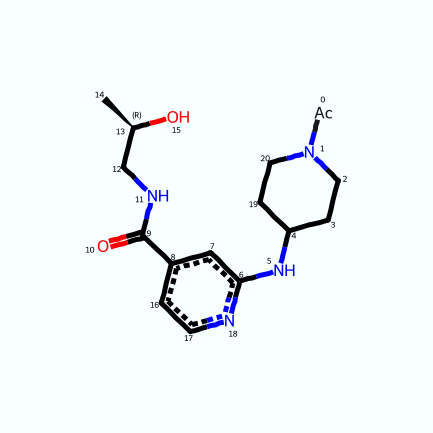 CC(=O)N1CCC(Nc2cc(C(=O)NC[C@@H](C)O)ccn2)CC1